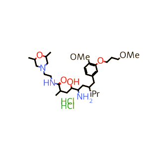 COCCCOc1cc(CC(CC(N)C(O)CC(C)C(=O)NCCN2CC(C)OC(C)C2)C(C)C)ccc1OC.Cl.Cl